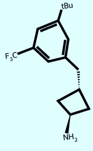 CC(C)(C)c1cc(C[C@H]2C[C@H](N)C2)cc(C(F)(F)F)c1